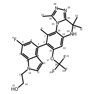 Cc1c(-c2cc(F)cc3c2ccn3CCO)c(OC(F)(F)F)cc2c1-n1c(C)nnc1C(C)(C)N2